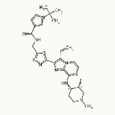 C=Cc1c(-c2nnc(CNC(=O)c3ccn(C(C)(C)C)c3)s2)nc2c(N[C@@H]3CCN(C)C[C@@H]3F)nccn12